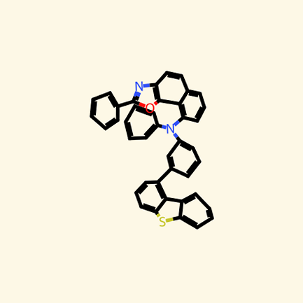 c1ccc(-c2nc3ccc4cccc(N(c5ccccc5)c5cccc(-c6cccc7sc8ccccc8c67)c5)c4c3o2)cc1